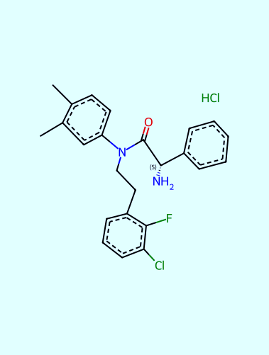 Cc1ccc(N(CCc2cccc(Cl)c2F)C(=O)[C@@H](N)c2ccccc2)cc1C.Cl